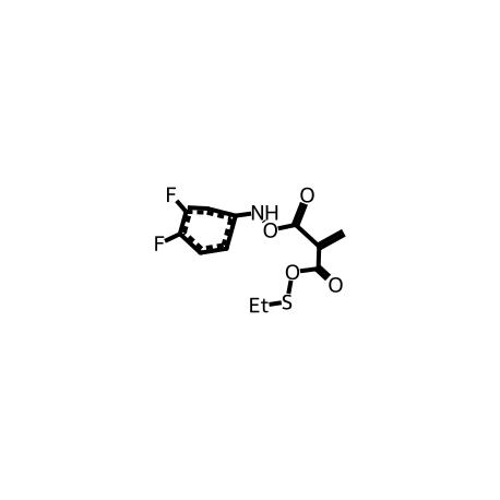 C=C(C(=O)ONc1ccc(F)c(F)c1)C(=O)OSCC